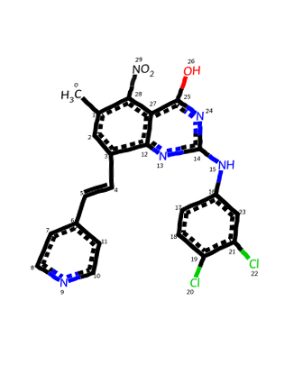 Cc1cc(C=Cc2ccncc2)c2nc(Nc3ccc(Cl)c(Cl)c3)nc(O)c2c1[N+](=O)[O-]